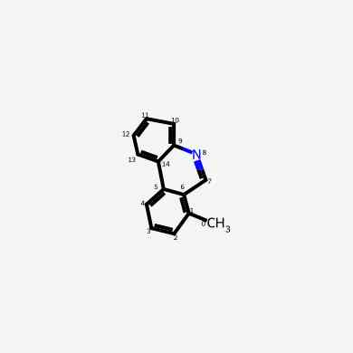 Cc1cccc2c1cnc1ccccc12